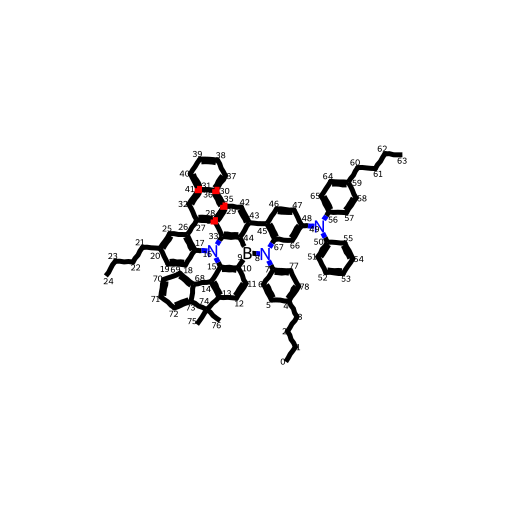 CCCCc1ccc(N2B3c4ccc5c(c4N(c4ccc(CCCC)cc4-c4ccccc4)c4cc(-c6ccccc6)cc(c43)-c3ccc(N(c4ccccc4)c4ccc(CCCC)cc4)cc32)-c2ccccc2C5(C)C)cc1